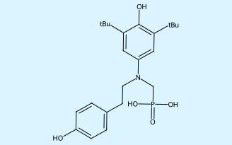 CC(C)(C)c1cc(N(CCc2ccc(O)cc2)CP(=O)(O)O)cc(C(C)(C)C)c1O